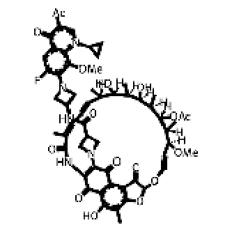 COc1c(N2CC(NC(=O)C3CN(C4=C5NC(=O)/C(C)=C\C=C\[C@H](C)[C@H](O)[C@@H](C)[C@@H](O)[C@@H](C)[C@H](OC(C)=O)[C@H](C)[C@@H](OC)/C=C/O[C@@]6(C)Oc7c(C)c(O)c(c(c7C6=O)C4=O)C5=O)C3)C2)c(F)cc2c(=O)c(C(C)=O)cn(C3CC3)c12